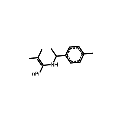 CCCC(NC(C)c1ccc(C)cc1)=C(C)C